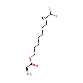 C=CC(=O)OCCCCCCC[SiH2]C(I)I